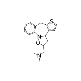 CN(C)CC1CC2c3ccsc3Cc3ccccc3N2O1